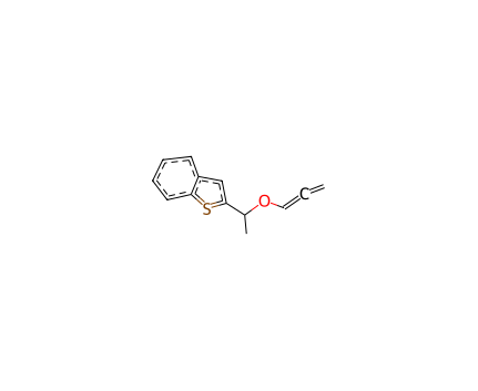 C=C=COC(C)c1cc2ccccc2s1